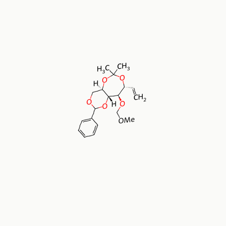 C=C[C@H]1OC(C)(C)O[C@@H]2COC(c3ccccc3)O[C@H]2[C@@H]1OCOC